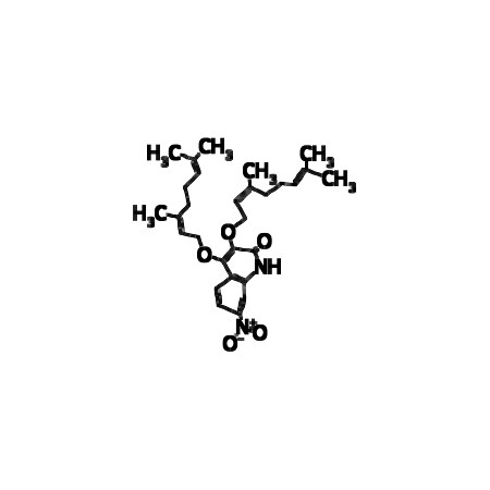 CC(C)=CCCC(C)=CCOc1c(OCC=C(C)CCC=C(C)C)c2ccc([N+](=O)[O-])cc2[nH]c1=O